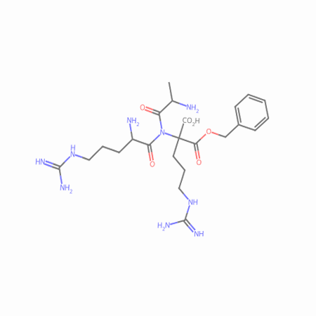 CC(N)C(=O)N(C(=O)C(N)CCCNC(=N)N)C(CCCNC(=N)N)(C(=O)O)C(=O)OCc1ccccc1